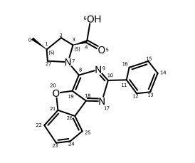 C[C@H]1C[C@@H](C(=O)O)N(c2nc(-c3ccccc3)nc3c2oc2ccccc23)C1